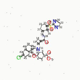 COC(=O)c1ccc2c(c1)N(C[C@@H]1CC[C@H]1C(=O)/C=C/[C@@H]1CCC[C@@H](S(=O)(=O)c3ncccn3)[C@H]1C)C[C@@]1(CCCc3cc(Cl)ccc31)CO2